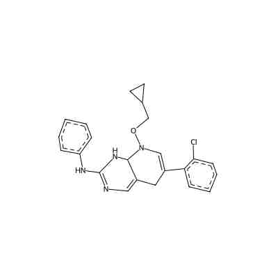 Clc1ccccc1C1=CN(OCC2CC2)C2NC(Nc3ccccc3)=NC=C2C1